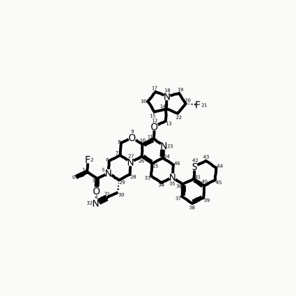 C=C(F)C(=O)N1CC2COc3c(OCC45CCCN4C[C@H](F)C5)nc4c(c3N2C[C@@H]1CC#N)CCN(c1cccc2c1SCCC2)C4